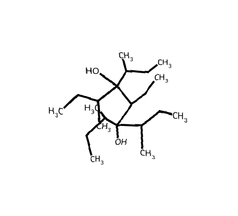 CCC(C)C(O)(C(C)CC)C(CC)C(O)(C(C)CC)C(C)CC